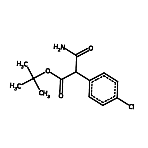 CC(C)(C)OC(=O)C(C(N)=O)c1ccc(Cl)cc1